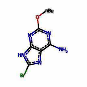 CCCCOc1nc(N)c2nc(Br)[nH]c2n1